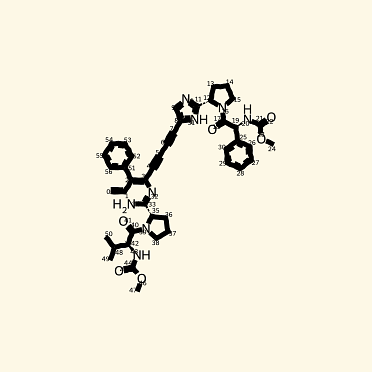 C=C/C(=C(C#CC#Cc1cnc([C@@H]2CCCN2C(=O)[C@H](NC(=O)OC)c2ccccc2)[nH]1)\N=C(/N)[C@@H]1CCCN1C(=O)[C@@H](NC(=O)OC)C(C)C)c1ccccc1